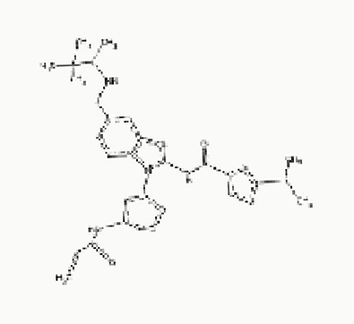 C=CC(=O)Nc1cccc(-n2c(NC(=O)c3ccc(C(C)C)s3)nc3cc(CN[C@@H](C)C(C)(C)C)ccc32)c1